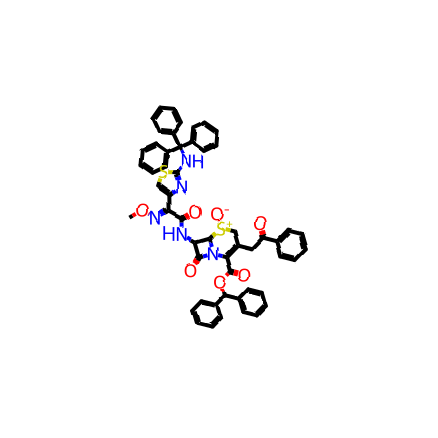 CON=C(C(=O)NC1C(=O)N2C(C(=O)OC(c3ccccc3)c3ccccc3)=C(CC(=O)c3ccccc3)C[S+]([O-])C12)c1csc(NC(c2ccccc2)(c2ccccc2)c2ccccc2)n1